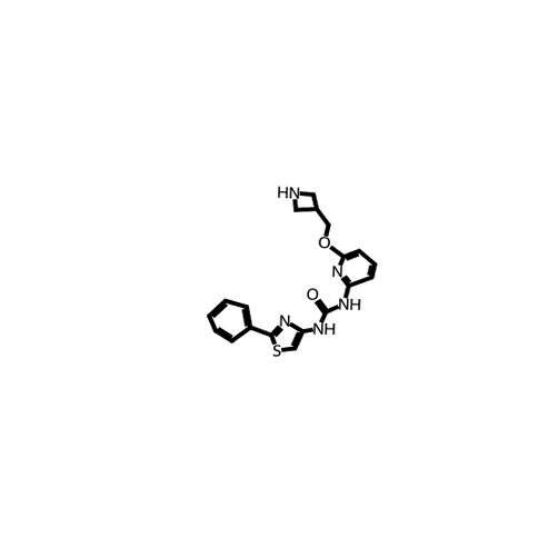 O=C(Nc1cccc(OCC2CNC2)n1)Nc1csc(-c2ccccc2)n1